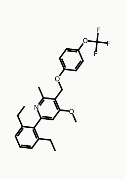 CCc1cccc(CC)c1-c1cc(OC)c(COc2ccc(OC(F)(F)F)cc2)c(C)n1